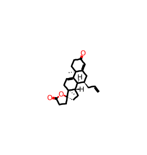 C=CC[C@@H]1CC2=CC(=O)CC[C@]2(C)C2=CC[C@@]3(C)[C@@H](CC[C@@]34CCC(=O)O4)[C@@H]21